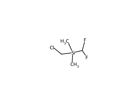 C[Si](C)(CCl)C(F)F